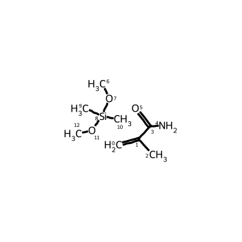 C=C(C)C(N)=O.CO[Si](C)(C)OC